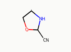 N#CC1N[CH]CO1